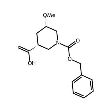 C=C(O)[C@@H]1C[C@H](OC)CN(C(=O)OCc2ccccc2)C1